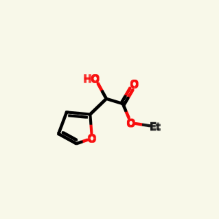 CCOC(=O)C(O)c1ccco1